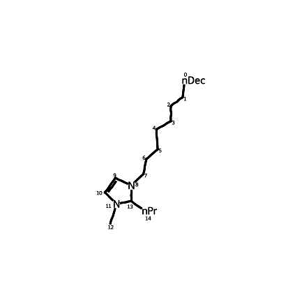 CCCCCCCCCCCCCCCCCN1C=CN(C)C1CCC